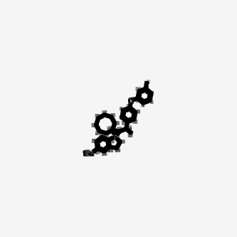 Cc1cccc(Oc2ccc(C(C)C3C4(CCCCCCC4)S34CCc3cc(C(C)(C)C)ccc34)cc2)c1